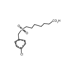 O=C(O)CCCCCCS(=O)(=O)Cc1ccc(Cl)cc1